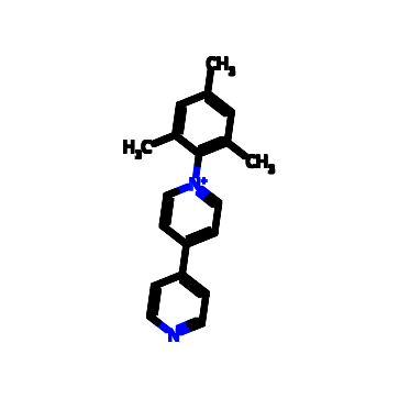 Cc1cc(C)c(-[n+]2ccc(-c3ccncc3)cc2)c(C)c1